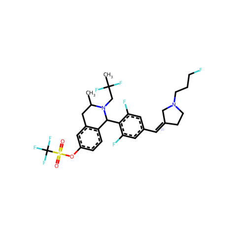 CC1Cc2cc(OS(=O)(=O)C(F)(F)F)ccc2C(c2c(F)cc(/C=C3/CCN(CCCF)C3)cc2F)N1CC(C)(F)F